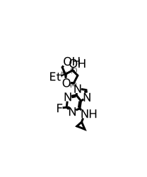 CC[C@]1(CO)O[C@@H](n2cnc3c(NC4CC4)nc(F)nc32)C[C@@H]1O